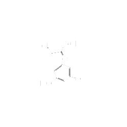 O=C(CCl)OCl.Oc1cccc(O)c1